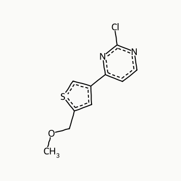 COCc1cc(-c2ccnc(Cl)n2)cs1